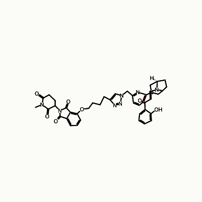 CN1C(=O)CCC(N2C(=O)c3cccc(OCCCCc4cn(Cc5cccc(N6CC7CC[C@H](C6)N7/C=C/C(=O)c6ccccc6O)n5)nn4)c3C2=O)C1=O